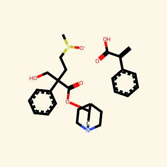 C=C(C(=O)O)c1ccccc1.C[S+]([O-])CCC(CO)(C(=O)OC1CN2CCC1CC2)c1ccccc1